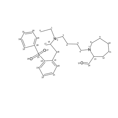 CCN(CCCCN1CCCCCC1C=O)C(C)Cc1ccccc1S(=O)(=O)c1ccccc1